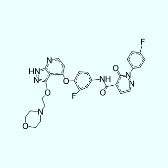 O=C(Nc1ccc(Oc2ccnc3[nH]nc(OCCN4CCOCC4)c23)c(F)c1)c1ccnn(-c2ccc(F)cc2)c1=O